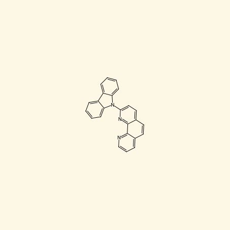 c1cnc2c(c1)ccc1ccc(-n3c4ccccc4c4ccccc43)nc12